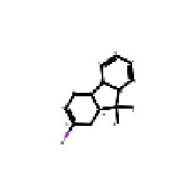 CC1(C)C2C=CC=CC2C2CC=C(I)CC21